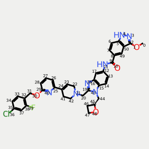 COc1n[nH]c2ccc(C(=O)Nc3ccc4c(c3)nc(CN3CC=C(c5cccc(OCc6ccc(Cl)cc6F)n5)CC3)n4C[C@@H]3CCO3)cc12